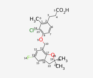 Cc1c(CCC(=O)O)ccc(OCc2cc(F)cc3c2OC(C)(C)C3)c1Cl